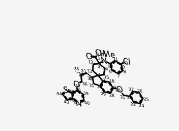 COC(=O)C1(Nc2cccc(Cl)c2)CCC2(CC1)c1cc(OCc3ccccc3)ccc1C[C@H]2C[C@@H](C)COc1ccnc2ccsc12